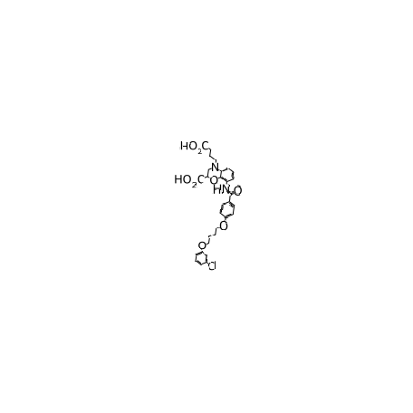 O=C(O)CCCN1CC(C(=O)O)Oc2c(NC(=O)c3ccc(OCCCCOc4cccc(Cl)c4)cc3)cccc21